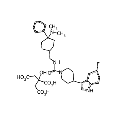 CN(C)C1(c2ccccc2)CCC(CNC(=O)N2CCC(c3c[nH]c4ccc(F)cc34)CC2)CC1.O=C(O)CC(O)(CC(=O)O)C(=O)O